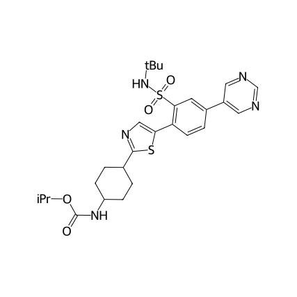 CC(C)OC(=O)NC1CCC(c2ncc(-c3ccc(-c4cncnc4)cc3S(=O)(=O)NC(C)(C)C)s2)CC1